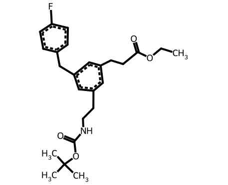 CCOC(=O)CCc1cc(CCNC(=O)OC(C)(C)C)cc(Cc2ccc(F)cc2)c1